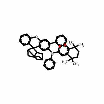 CC1(C)CCC(C)(C)c2cc(N(c3ccccc3)c3cc4c(cc3-c3ccccc3)Oc3ccccc3C43C4CC5CC(C4)C3C5)ccc21